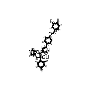 C[C@@H](c1cc(-c2ccc(OCc3ccc(F)c(F)c3)cc2)no1)[C@](O)(Cn1cnnn1)c1ccc(F)cc1F